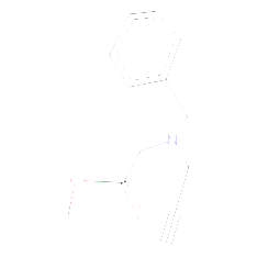 C#CCN(CC(=O)OC)Cc1ccccc1